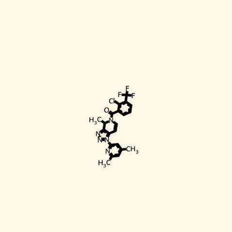 Cc1cc(C)nc(-n2nnc3c2C=CN(C(=O)c2cccc(C(F)(F)F)c2Cl)C3C)c1